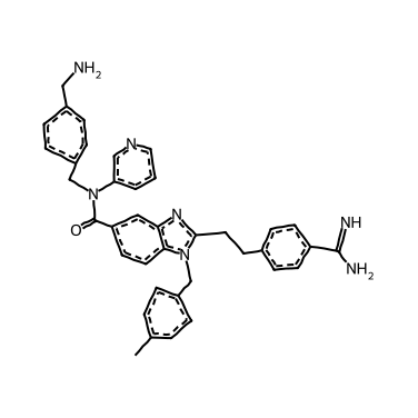 Cc1ccc(Cn2c(CCc3ccc(C(=N)N)cc3)nc3cc(C(=O)N(Cc4ccc(CN)cc4)c4cccnc4)ccc32)cc1